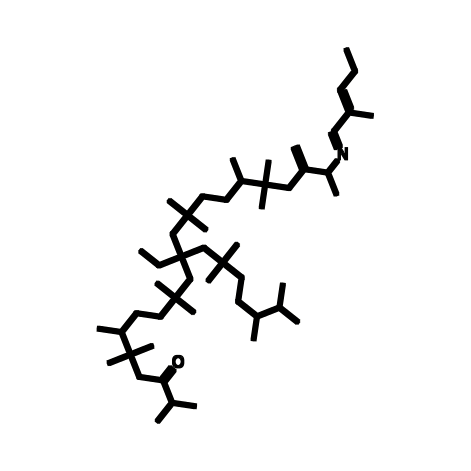 C=C(CC(C)(C)C(C)CCC(C)(C)CC(CC)(CC(C)(C)CCC(C)C(C)C)CC(C)(C)CCC(C)C(C)(C)CC(=O)C(C)C)C(C)/N=C/C(C)=C/CC